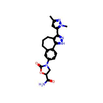 Cc1cc(-c2n[nH]c3c2CCCc2cc(N4CC(C(N)=O)OC4=O)ccc2-3)n(C)n1